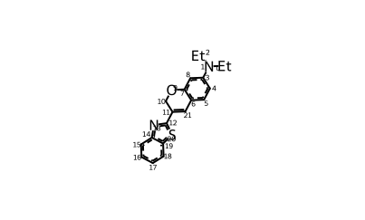 CCN(CC)c1ccc2c(c1)OCC(c1nc3ccccc3s1)=C2